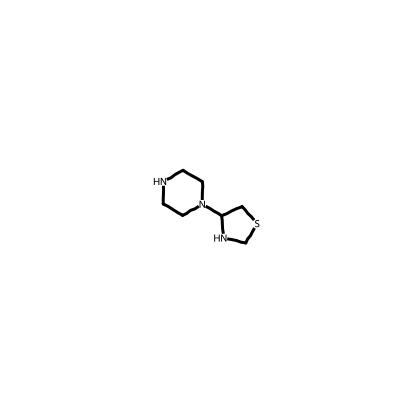 C1CN(C2CSCN2)CCN1